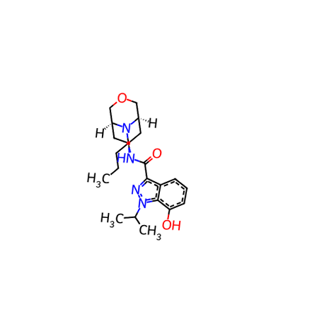 CCCCN1[C@@H]2COC[C@H]1C[C@@H](NC(=O)c1nn(C(C)C)c3c(O)cccc13)C2